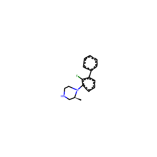 C[C@H]1CNCCN1c1cccc(-c2ccccc2)c1F